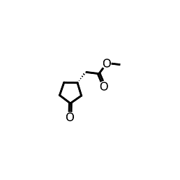 COC(=O)C[C@H]1CCC(=O)C1